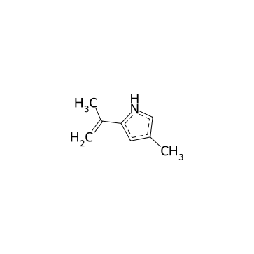 C=C(C)c1cc(C)c[nH]1